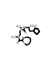 CN(CCN(C)C(=O)C1CCCCCCN1)C(=O)N[C@@H](Cc1ccccc1)C(=O)O